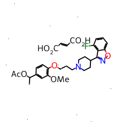 COc1cc(C(C)OC(C)=O)ccc1OCCCN1CCC(c2noc3cccc(F)c23)CC1.O=C(O)/C=C/C(=O)O